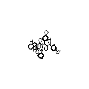 COc1ccc(NC(=O)[C@@H](NC(=O)[C@@H]2C[C@@H]3CCCC[C@@H]3N2C(=O)OCc2ccccc2)c2ccc(OC)cc2)cc1